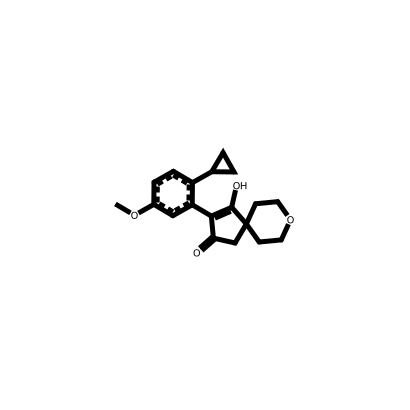 COc1ccc(C2CC2)c(C2=C(O)C3(CCOCC3)CC2=O)c1